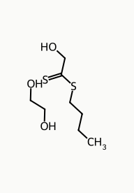 CCCCSC(=S)CO.OCCO